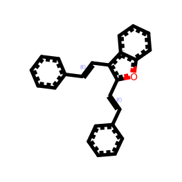 C(=C\c1oc2ccccc2c1/C=C/c1ccccc1)/c1ccccc1